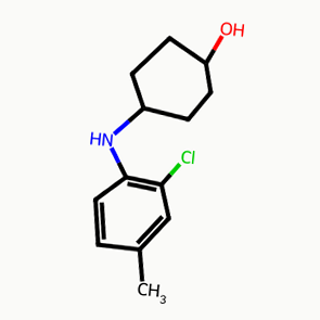 Cc1ccc(NC2CCC(O)CC2)c(Cl)c1